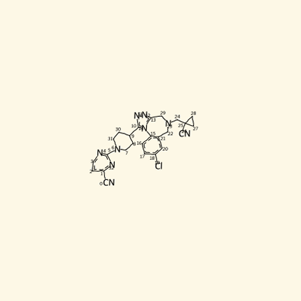 N#Cc1ccnc(N2CCC(c3nnc4n3-c3ccc(Cl)cc3CN(CC3(C#N)CC3)C4)CC2)n1